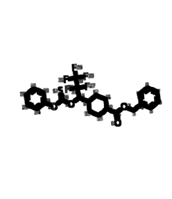 O=C(OCc1ccccc1)C1CCC(C(OC(=S)Oc2ccccc2)C(F)(F)C(F)(F)F)CC1